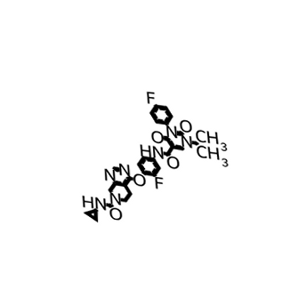 CC(C)n1cc(C(=O)Nc2ccc(Oc3ncnc4c3CCN(C(=O)NC3CC3)C4)c(F)c2)c(=O)n(-c2ccc(F)cc2)c1=O